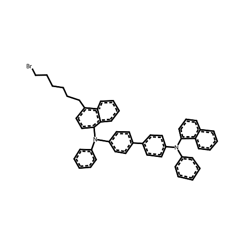 BrCCCCCCc1ccc(N(c2ccccc2)c2ccc(-c3ccc(N(c4ccccc4)c4cccc5ccccc45)cc3)cc2)c2ccccc12